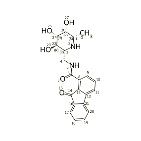 C[C@@H]1N[C@H](CNC(=O)c2cccc3c2C(=O)c2ccccc2-3)[C@@H](O)[C@H](O)[C@@H]1O